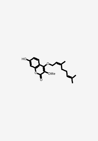 COc1c(OCC=C(C)CCC=C(C)C)c2ccc(O)cc2oc1=O